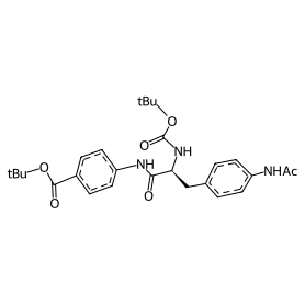 CC(=O)Nc1ccc(C[C@H](NC(=O)OC(C)(C)C)C(=O)Nc2ccc(C(=O)OC(C)(C)C)cc2)cc1